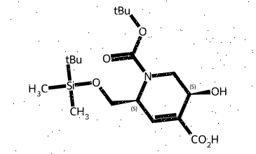 CC(C)(C)OC(=O)N1C[C@@H](O)C(C(=O)O)=C[C@H]1CO[Si](C)(C)C(C)(C)C